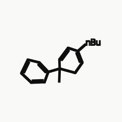 CCCCC1=CCC(C)(c2ccccc2)C=C1